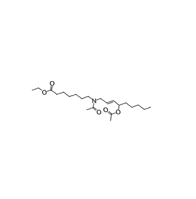 CCCCCC(C=CCN(CCCCCCC(=O)OCC)C(C)=O)OC(C)=O